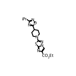 CCOC(=O)c1cn2nc(N3CCC(c4nc(C(C)C)no4)CC3)sc2n1